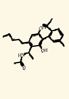 C=C(C)c1ccc(C)cc1-c1c(O)cc(CCCCC)c(C(C)NC(C)=O)c1O